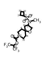 CN(C1COC2(CCN(C(=O)OC(C(F)(F)F)C(F)(F)F)CC2)C1)S(=O)(=O)C1CCC1